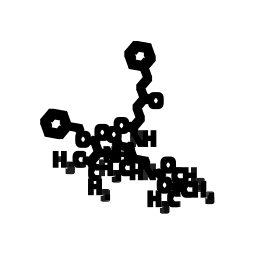 CC(C)C(NC(=O)C(NC(=O)CCC(=O)CCc1ccccc1)C(C)CNC(=O)OC(C)(C)C)C(=O)OCc1ccccc1